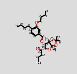 CCCCOc1cc(CO[C@@H]2[C@H]3OC(C)(C)O[C@H]3O[C@@H]2C(=O)CCC)ccc1CCCC